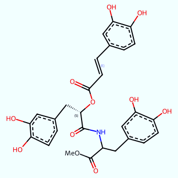 COC(=O)C(Cc1ccc(O)c(O)c1)NC(=O)[C@H](Cc1ccc(O)c(O)c1)OC(=O)/C=C/c1ccc(O)c(O)c1